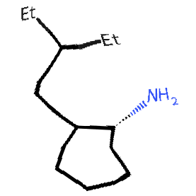 CCC(CC)CC1CCC[C@H]1N